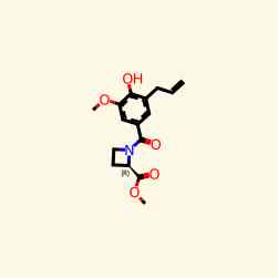 C=CCc1cc(C(=O)N2CC[C@@H]2C(=O)OC)cc(OC)c1O